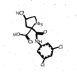 O=C(O)C1(C(=O)Nc2cc(Cl)cc(Cl)c2)CC(O)CN1